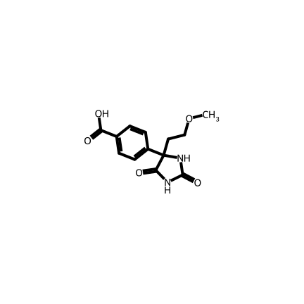 COCCC1(c2ccc(C(=O)O)cc2)NC(=O)NC1=O